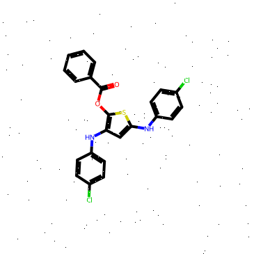 O=C(Oc1sc(Nc2ccc(Cl)cc2)cc1Nc1ccc(Cl)cc1)c1ccccc1